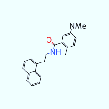 CNc1ccc(C)c(C(=O)NCCc2cccc3ccccc23)c1